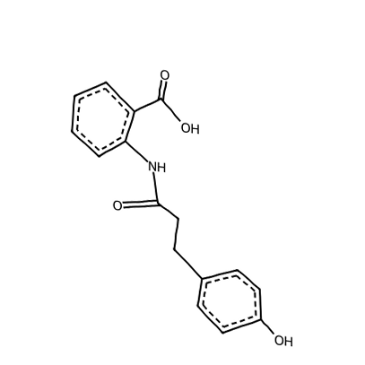 O=C(CCc1ccc(O)cc1)Nc1ccccc1C(=O)O